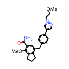 COCCn1cc(-c2ccc(Cc3cc(C(N)=O)c(OC)c4c3CCC4)cc2)cn1